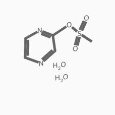 CS(=O)(=O)Oc1cnccn1.O.O